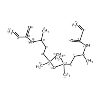 C=CC(=O)NC(C)CC[Si](C)(C)O[Si](C)(C)CCC(C)NC(=O)C=C